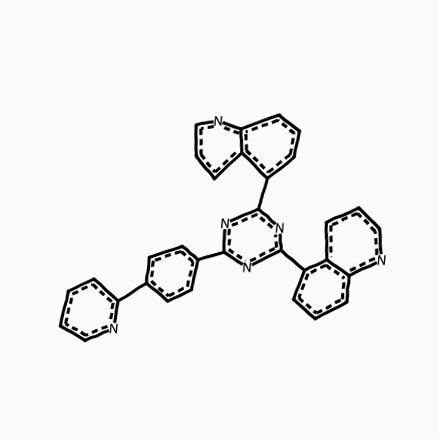 c1ccc(-c2ccc(-c3nc(-c4cccc5ncccc45)nc(-c4cccc5ncccc45)n3)cc2)nc1